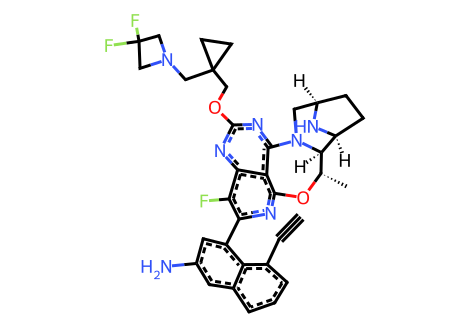 C#Cc1cccc2cc(N)cc(-c3nc4c5c(nc(OCC6(CN7CC(F)(F)C7)CC6)nc5c3F)N3C[C@H]5CC[C@H](N5)[C@H]3[C@H](C)O4)c12